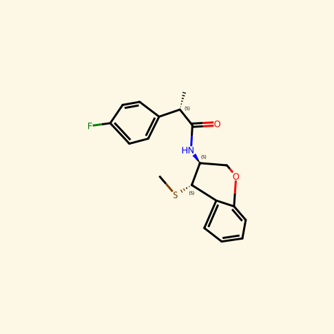 CS[C@H]1c2ccccc2OC[C@@H]1NC(=O)[C@@H](C)c1ccc(F)cc1